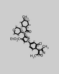 CCOC(=O)c1cn(-c2ccc(-c3c(C)noc3C)c(Cl)c2)nc1N(C(=O)C1CCC(C)CC1)C1CCOCC1